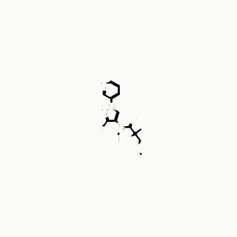 BC(C)(CSC)C(=O)N(C)c1cn(-c2cccnc2)nc1Cl